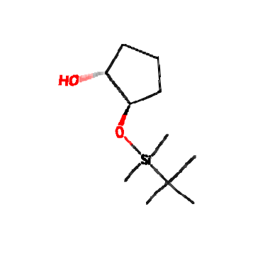 CC(C)(C)[Si](C)(C)O[C@@H]1CCC[C@H]1O